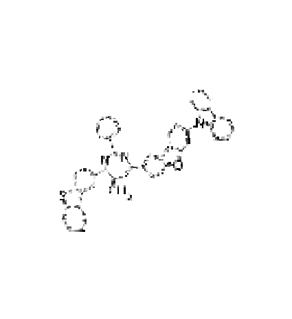 C=C1C=C(c2ccc3oc4cc(-n5c6ccccc6c6ccccc65)ccc4c3c2)N=C(c2ccccc2)N=C1c1ccc2sc3ccccc3c2c1